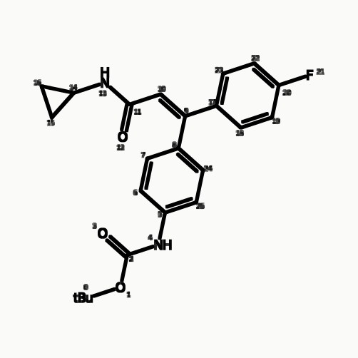 CC(C)(C)OC(=O)Nc1ccc(/C(=C\C(=O)NC2CC2)c2ccc(F)cc2)cc1